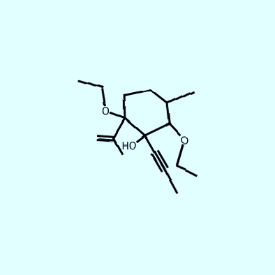 C=C(C)C1(OCC)CCC(C)C(OCC)C1(O)C#CC